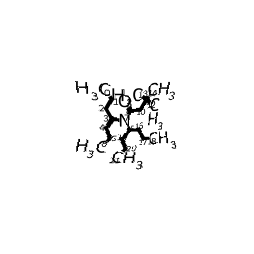 CCCC(CCC)N(C(=O)CC(C)(C)C)C(CCC)CCC